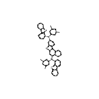 Cc1cc(C)cc(N(c2ccc3c(c2)sc2cc(N(c4cc(C)cc(C)c4)c4cccc5c4oc4ccccc45)c4ccccc4c23)c2cccc3c2oc2ccccc23)c1